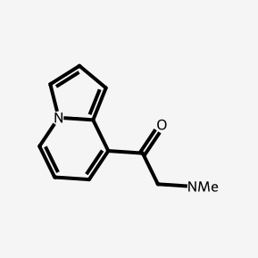 CNCC(=O)c1cccn2cccc12